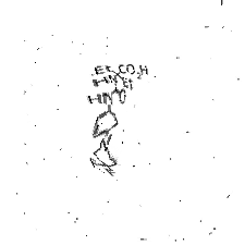 CCC(CC)(NC(=O)Nc1ccc(N2CCC(F)(F)C2)cc1)C(=O)O